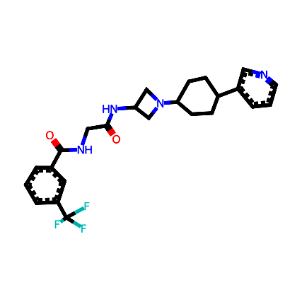 O=C(CNC(=O)c1cccc(C(F)(F)F)c1)NC1CN(C2CCC(c3cccnc3)CC2)C1